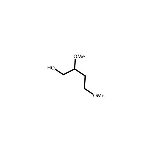 COCCC(CO)OC